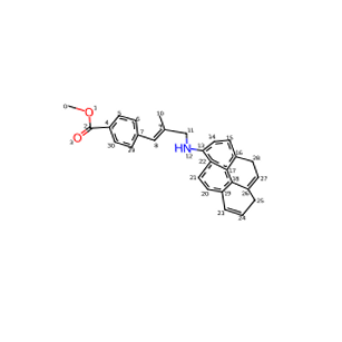 COC(=O)c1ccc(C=C(C)CNc2ccc3c4c5c(ccc24)C=CCC5=CC3)cc1